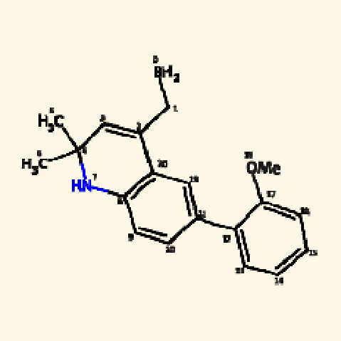 BCC1=CC(C)(C)Nc2ccc(-c3ccccc3OC)cc21